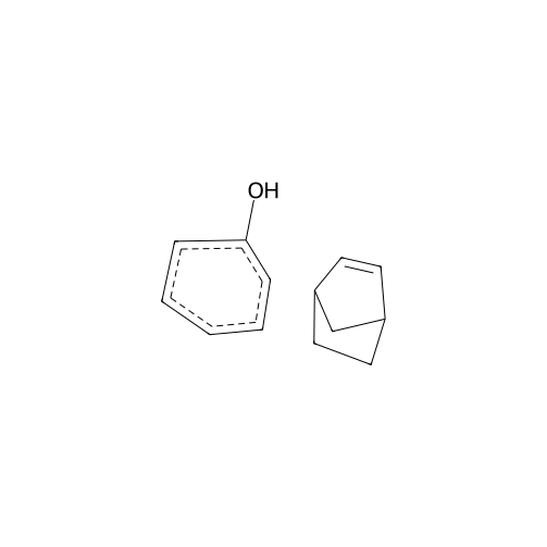 C1=CC2CCC1C2.Oc1ccccc1